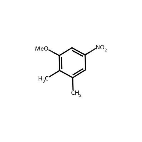 COc1cc([N+](=O)[O-])cc(C)c1C